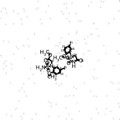 COC(=O)CN(c1cc(I)ccc1OC)S(N)(=O)=O.COc1ccc(I)cc1N1CC(=O)NS1(=O)=O